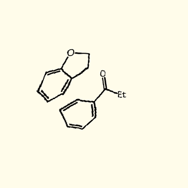 CCC(=O)c1ccccc1.c1ccc2c(c1)CCO2